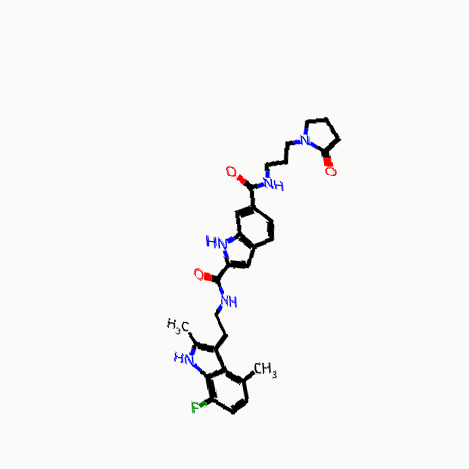 Cc1[nH]c2c(F)ccc(C)c2c1CCNC(=O)c1cc2ccc(C(=O)NCCCN3CCCC3=O)cc2[nH]1